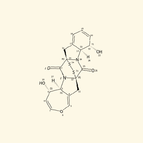 O=C1N2[C@H]3C(=COC=C[C@@H]3O)C[C@]23SS[C@]12CC1=CC=C[C@H](O)[C@H]1N2C3=O